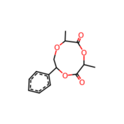 CC1OCC(c2ccccc2)OC(=O)C(C)OC1=O